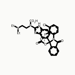 CCN(CC)CCN(C(=O)O)c1nc2cc(C3(OC(=O)C(F)(F)F)c4ccccc4C(=O)N3c3cccc(Cl)c3F)ccc2[nH]1